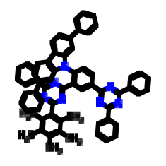 Bc1c(B)c(B)c(-c2nc(-c3ccccc3)nc(-c3cc(-c4nc(-c5ccccc5)nc(-c5ccccc5)n4)ccc3-n3c4cc(-c5ccccc5)ccc4c4ccc(-c5ccccc5)cc43)n2)c(B)c1B